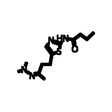 CCCC(=O)Nc1ncc(CC/C(C)=N\N(C)C)s1